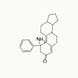 NC1(c2ccccc2)CC(=O)C=C2CCC3C(=C21)CCC1CCCC13